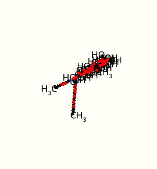 CCCCCCCCCCCCC/C=C/[C@@H](O)[C@H](CO[C@@H]1OC(CO)[C@@H](O[C@@H]2OC(CO)[C@H](O[C@@H]3OC(CO)[C@H](O)[C@H](O[C@@H]4OC(CO)[C@H](O)[C@H](O[C@@H]5OC(CO)[C@H](O)[C@H](O[C@]6(C(=O)O)CC(O)[C@@H](NC(=O)CO)C([C@H](O)[C@H](O)CO)O6)C5O)C4NC(C)=O)C3O)[C@H](O)C2O)[C@H](O)C1O)NC(=O)CCCCCCCCCCCCCCCCCCCCCCC